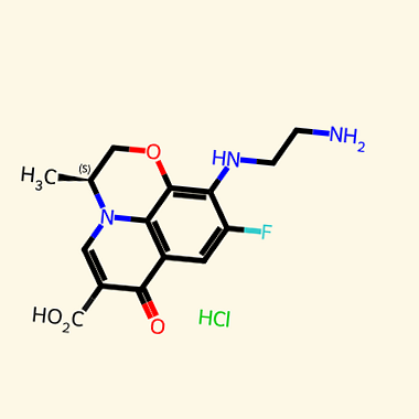 C[C@H]1COc2c(NCCN)c(F)cc3c(=O)c(C(=O)O)cn1c23.Cl